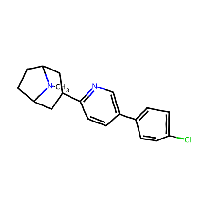 CN1C2CCC1CC(c1ccc(-c3ccc(Cl)cc3)cn1)C2